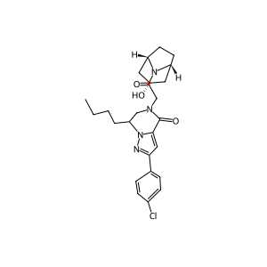 CCCCC1CN(CC(=O)N2[C@@H]3CC[C@H]2C[C@@H](O)C3)C(=O)c2cc(-c3ccc(Cl)cc3)nn21